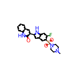 CN1CCN(S(=O)(=O)c2cc3cc(-c4cc5ccccc5[nH]c4=O)[nH]c3cc2F)CC1